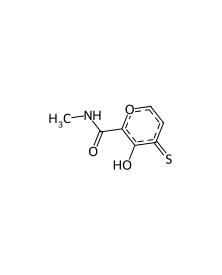 CNC(=O)c1occc(=S)c1O